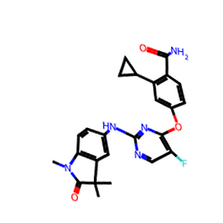 CN1C(=O)C(C)(C)c2cc(Nc3ncc(F)c(Oc4ccc(C(N)=O)c(C5CC5)c4)n3)ccc21